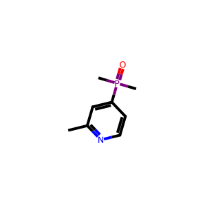 Cc1cc(P(C)(C)=O)ccn1